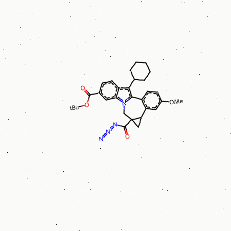 COc1ccc2c(c1)C1CC1(C(=O)N=[N+]=[N-])Cn1c-2c(C2CCCCC2)c2ccc(C(=O)OC(C)(C)C)cc21